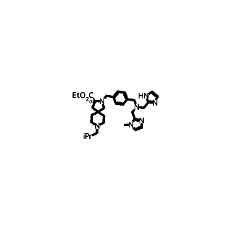 CCOC(=O)[C@@H]1CC2(CCN(CC(C)C)CC2)CN1Cc1ccc(CN(Cc2ncc[nH]2)Cc2nccn2C)cc1